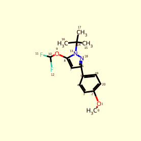 COc1ccc(-c2cc(OC(F)F)n(C(C)(C)C)n2)cc1